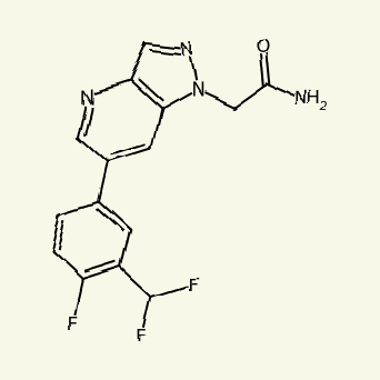 NC(=O)Cn1ncc2ncc(-c3ccc(F)c(C(F)F)c3)cc21